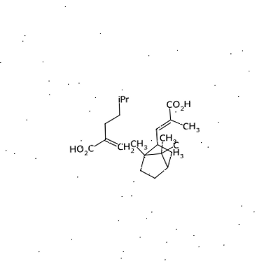 C=C(CCC(C)C)C(=O)O.CC(=CC1CC2CCC1(C)C2(C)C)C(=O)O